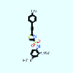 COc1cc(C(=O)O)ccc1NS(=O)(=O)c1csc(C#Cc2ccc(C#N)cc2)n1